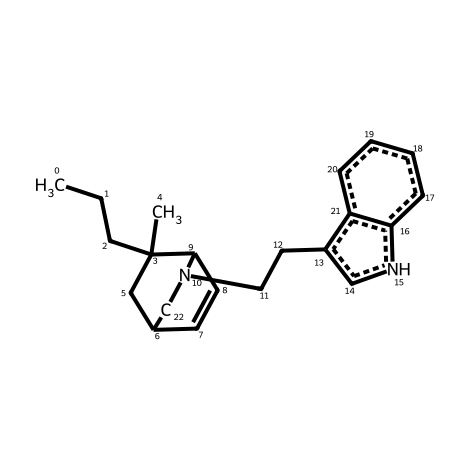 CCCC1(C)CC2C=CC1N(CCc1c[nH]c3ccccc13)C2